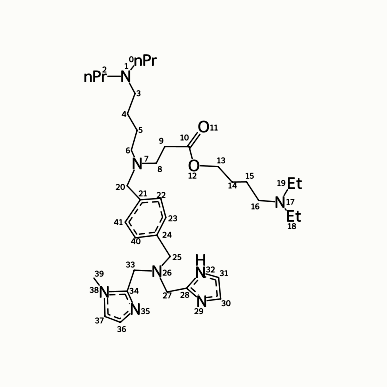 CCCN(CCC)CCCCN(CCC(=O)OCCCCN(CC)CC)Cc1ccc(CN(Cc2ncc[nH]2)Cc2nccn2C)cc1